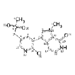 Cn1cc(-c2cc(CS(C)(=O)=O)cnc2Cl)c2cc[nH]c(=O)c21